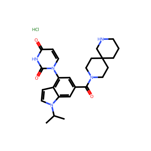 CC(C)n1ccc2c(-n3ccc(=O)[nH]c3=O)cc(C(=O)N3CCC4(CCCNC4)CC3)cc21.Cl